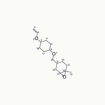 C=COC1CCC(OCC2CCC3(C)OC3C2)CC1